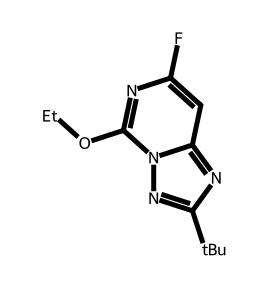 CCOc1nc(F)cc2nc(C(C)(C)C)nn12